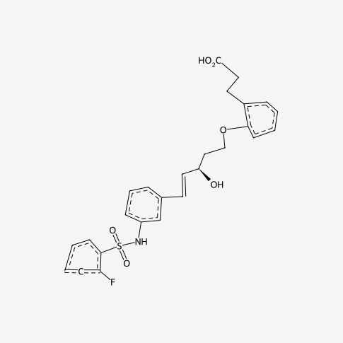 O=C(O)CCc1ccccc1OCC[C@@H](O)/C=C/c1cccc(NS(=O)(=O)c2ccccc2F)c1